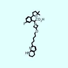 CC1(C)CCC(c2ccc(F)cc2C(C(=O)O)N2CC(OCCCCCc3ccc4c(n3)NCCC4)C2)O1